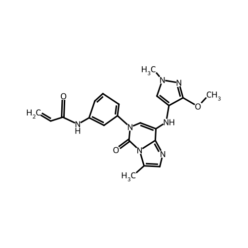 C=CC(=O)Nc1cccc(-n2cc(Nc3cn(C)nc3OC)c3ncc(C)n3c2=O)c1